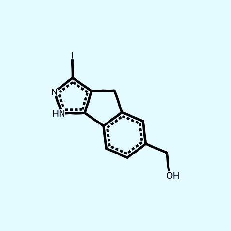 OCc1ccc2c(c1)Cc1c(I)n[nH]c1-2